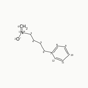 C=[N+]([O-])CCCCc1ccccc1